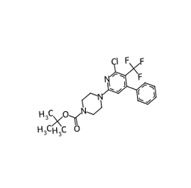 CC(C)(C)OC(=O)N1CCN(c2cc(-c3ccccc3)c(C(F)(F)F)c(Cl)n2)CC1